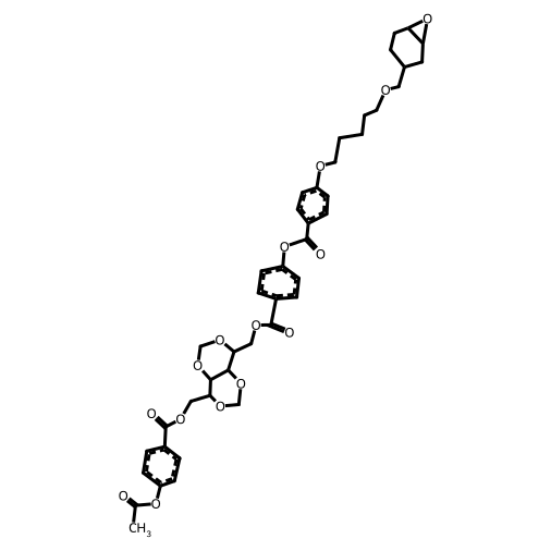 CC(=O)Oc1ccc(C(=O)OCC2OCOC3C(COC(=O)c4ccc(OC(=O)c5ccc(OCCCCCOCC6CCC7OC7C6)cc5)cc4)OCOC23)cc1